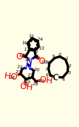 C1CCCCCCCCC1.O=C1c2ccccc2C(=O)N1N1CC(O)C(O)C(CO)C1